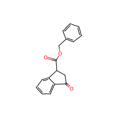 O=C1CC(C(=O)OCc2ccccc2)c2ccccc21